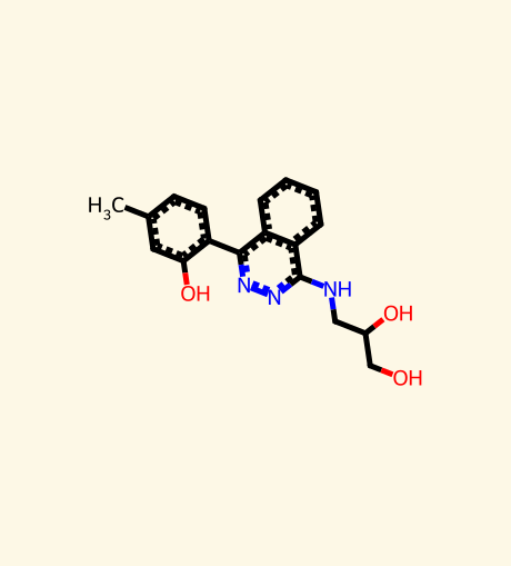 Cc1ccc(-c2nnc(NCC(O)CO)c3ccccc23)c(O)c1